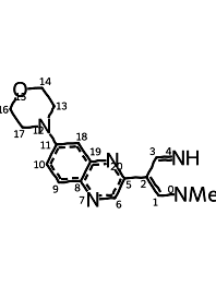 CN/C=C(\C=N)c1cnc2ccc(N3CCOCC3)cc2n1